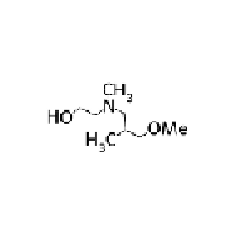 COCC(C)CN(C)CCO